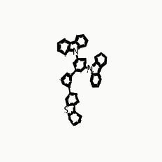 c1cc(-c2cc(-n3c4ccccc4c4ccccc43)cc(-n3c4ccccc4c4ccccc43)c2)cc(-c2ccc3c(c2)sc2ccccc23)c1